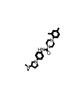 Cc1ccc(N2CCN(C(=O)Nc3ccc(N4CCC(N(C)C)C4)cc3)CC2)c(C)c1